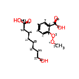 COOc1ccccc1C(=O)O.O=C(O)CCCCCCCO